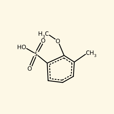 COc1c(C)cccc1S(=O)(=O)O